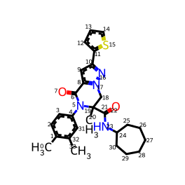 Cc1ccc(N2C(=O)c3cc(-c4cccs4)nn3CC2(C)C(=O)NC2CCCCCC2)cc1C